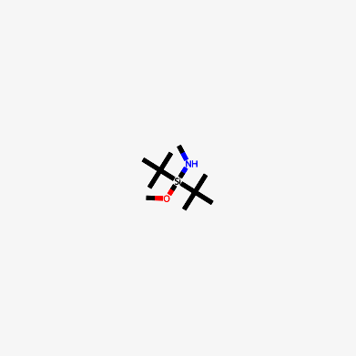 CN[Si](OC)(C(C)(C)C)C(C)(C)C